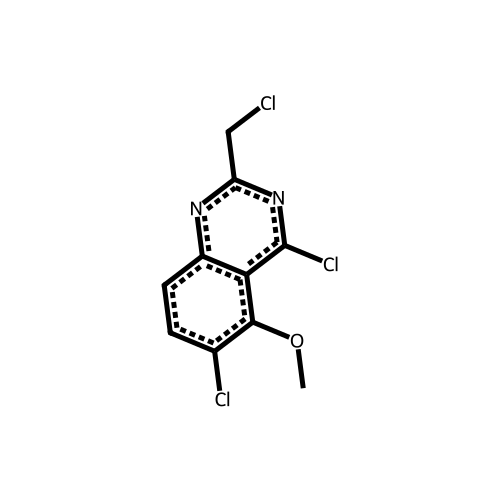 COc1c(Cl)ccc2nc(CCl)nc(Cl)c12